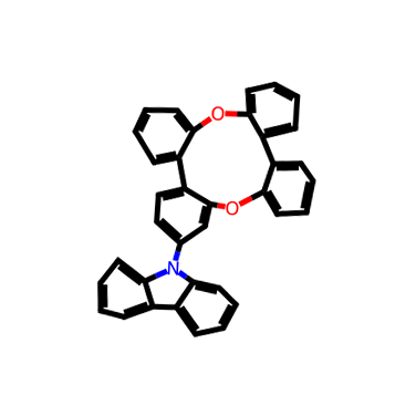 c1ccc2c(c1)Oc1ccccc1-c1ccc(-n3c4ccccc4c4ccccc43)cc1Oc1ccccc1-2